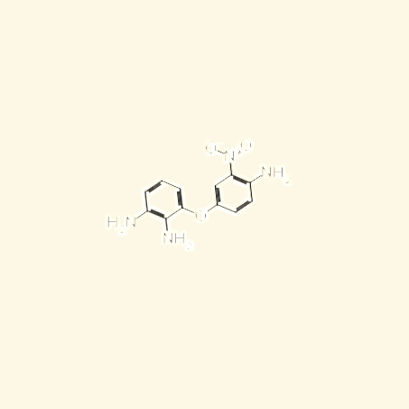 Nc1ccc(Oc2cccc(N)c2N)cc1[N+](=O)[O-]